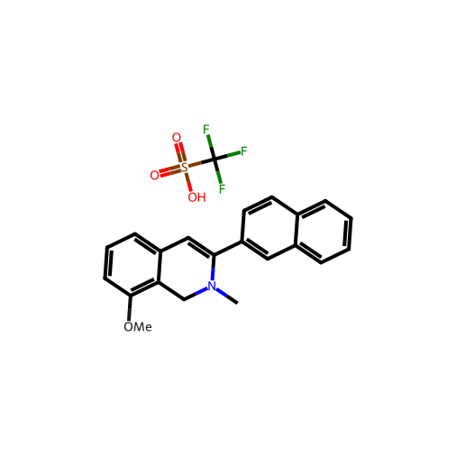 COc1cccc2c1CN(C)C(c1ccc3ccccc3c1)=C2.O=S(=O)(O)C(F)(F)F